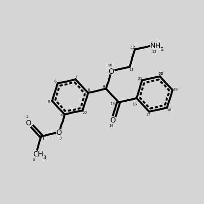 CC(=O)Oc1cccc(C(OCCN)C(=O)c2ccccc2)c1